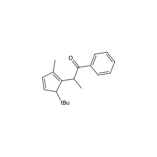 CC1=C(C(C)C(=O)c2ccccc2)C(C(C)(C)C)C=C1